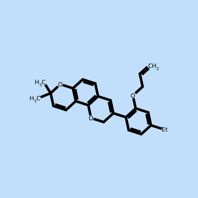 C=CCOc1cc(CC)ccc1C1=Cc2ccc3c(c2OC1)C=CC(C)(C)O3